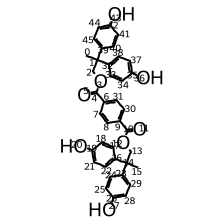 CC(COC(=O)c1ccc(C(=O)OCC(C)(c2ccc(O)cc2)c2ccc(O)cc2)cc1)(c1ccc(O)cc1)c1ccc(O)cc1